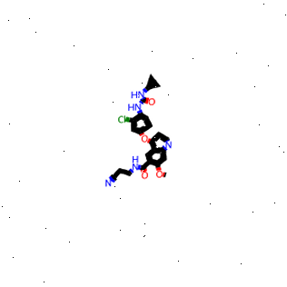 COc1cc2nccc(Oc3ccc(NC(=O)NC4CC4)c(Cl)c3)c2cc1C(=O)NCCC#N